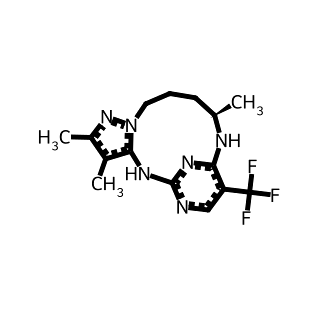 Cc1nn2c(c1C)Nc1ncc(C(F)(F)F)c(n1)N[C@H](C)CCC2